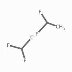 CC(F)F.FC(F)Cl